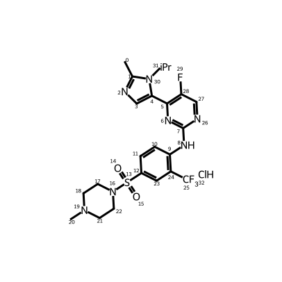 Cc1ncc(-c2nc(Nc3ccc(S(=O)(=O)N4CCN(C)CC4)cc3C(F)(F)F)ncc2F)n1C(C)C.Cl